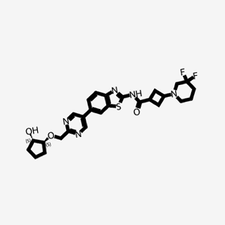 O=C(Nc1nc2ccc(-c3cnc(CO[C@H]4CCC[C@@H]4O)nc3)cc2s1)C1CC(N2CCCC(F)(F)C2)C1